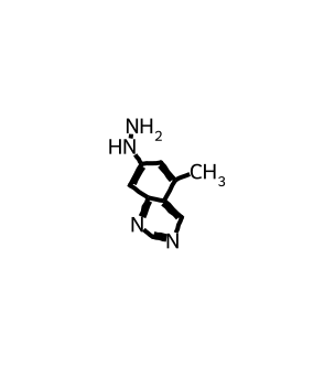 Cc1cc(NN)cc2ncncc12